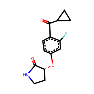 O=C(c1ccc(O[C@@H]2CCNC2=O)cc1F)C1CC1